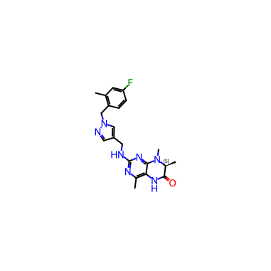 Cc1cc(F)ccc1Cn1cc(CNc2nc(C)c3c(n2)N(C)[C@@H](C)C(=O)N3)cn1